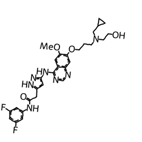 COc1cc2c(Nc3cc(CC(=O)Nc4cc(F)cc(F)c4)[nH]n3)ncnc2cc1OCCCN(CCO)CC1CC1